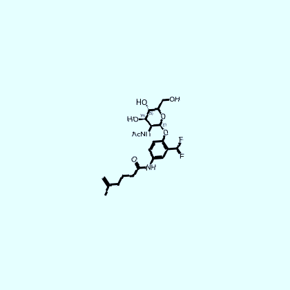 C=C(C)CCCC(=O)Nc1ccc(O[C@@H]2OC(CO)[C@@H](O)[C@H](O)C2NC(C)=O)c(C(F)F)c1